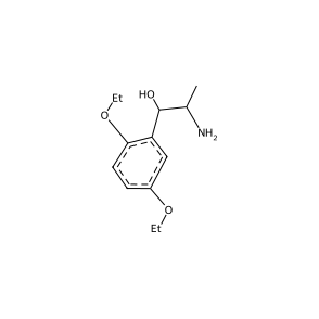 CCOc1ccc(OCC)c(C(O)C(C)N)c1